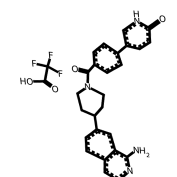 Nc1nccc2ccc(C3CCN(C(=O)c4ccc(-c5ccc(=O)[nH]c5)cc4)CC3)cc12.O=C(O)C(F)(F)F